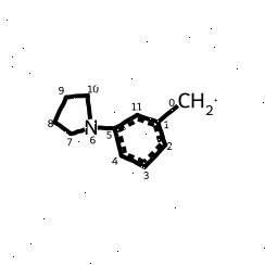 [CH2]c1cccc(N2CCCC2)c1